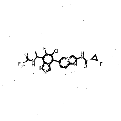 CC(NC(=O)C(F)(F)F)c1c(F)c(Cl)c(-c2ccc3nc(NC(=O)[C@@H]4C[C@@H]4F)cn3c2)c2cn[nH]c12